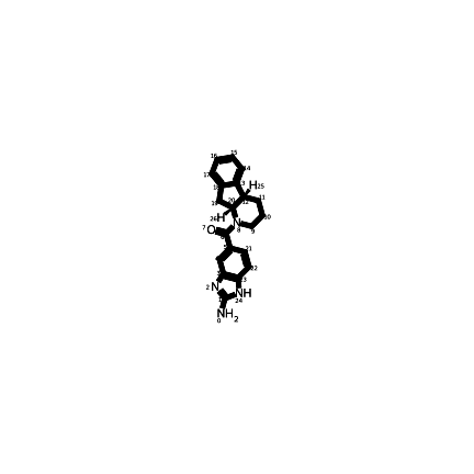 Nc1nc2cc(C(=O)N3CCC[C@H]4c5ccccc5C[C@H]43)ccc2[nH]1